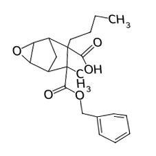 CCCCC1(C(=O)O)C2CC(C3OC32)C1(C)C(=O)OCc1ccccc1